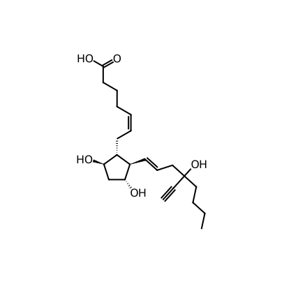 C#CC(O)(C/C=C/[C@@H]1[C@@H](C/C=C\CCCC(=O)O)[C@H](O)C[C@H]1O)CCCC